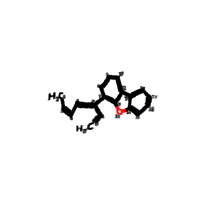 C=C/C(=C\C=C/C)c1cccc2c1oc1ccccc12